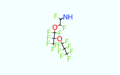 N=C(F)C(F)OC(F)(F)C(F)(OC(F)(F)C(F)(F)C(F)(F)F)C(F)(F)F